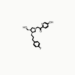 O=C(CN1C[C@@H](CCCc2ccc(F)cc2)[C@@H](CO)C1)c1ccc(O)cn1